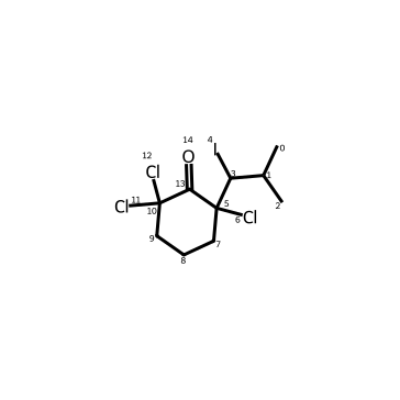 CC(C)C(I)C1(Cl)CCCC(Cl)(Cl)C1=O